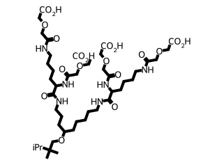 CC(C)C(C)(C)COC(CCCCCNC(=O)C(CCCCNC(=O)COCC(=O)O)NC(=O)COCC(=O)O)CCCNC(=O)C(CCCCNC(=O)COCC(=O)O)NC(=O)COCC(=O)O